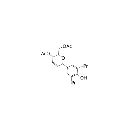 CC(=O)OCC1OC(c2cc(C(C)C)c(O)c(C(C)C)c2)C=C[C@@H]1OC(C)=O